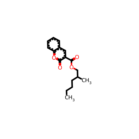 CCCCC(C)COC(=O)c1cc2ccccc2oc1=O